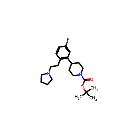 CC(C)(C)OC(=O)N1CCC(c2cc(F)ccc2CCN2CCCC2)CC1